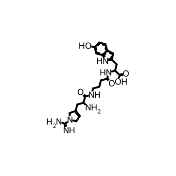 N=C(N)N1CC=C(CC(N)C(=O)NCCCC(=O)NC(Cc2cc3ccc(O)cc3[nH]2)C(=O)O)C1